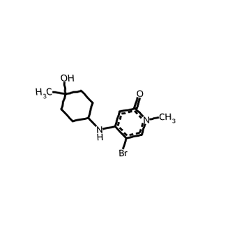 Cn1cc(Br)c(NC2CCC(C)(O)CC2)cc1=O